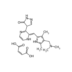 Cc1[nH]c(C=C2NC=CN=C2C2C=NNC2=O)c(C)c1CN(C)C.O=C(O)/C=C\C(=O)O